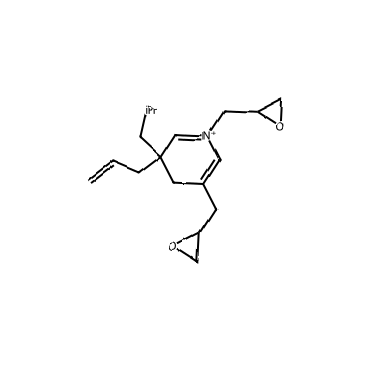 C=CCC1(CC(C)C)C=[N+](CC2CO2)C=C(CC2CO2)C1